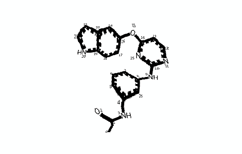 CC(=O)Nc1cccc(Nc2nccc(Oc3ccc4[nH]ccc4c3)n2)c1